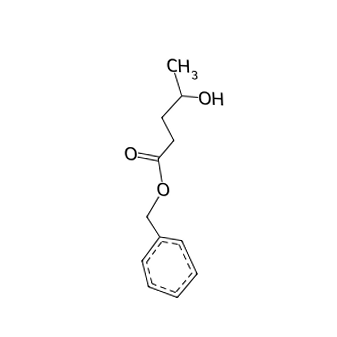 CC(O)CCC(=O)OCc1ccccc1